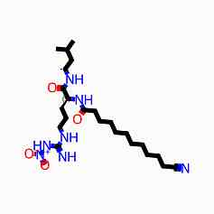 CC(C)C[CH]NC(=O)[C@H](CCCNC(=N)N[N+](=O)[O-])NC(=O)CCCCCCCCCCC#N